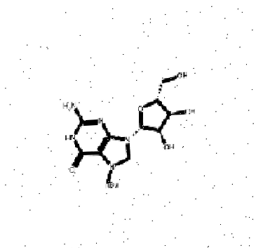 CCCCN1CN([C@@H]2O[C@H](CO)[C@@H](O)[C@H]2O)c2nc(N)[nH]c(=O)c21